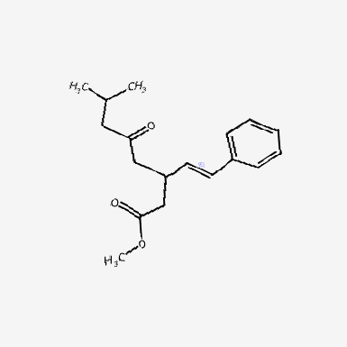 COC(=O)CC(/C=C/c1ccccc1)CC(=O)CC(C)C